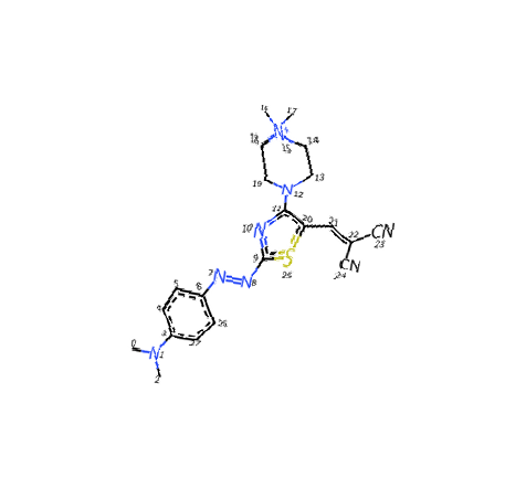 CN(C)c1ccc(/N=N/c2nc(N3CC[N+](C)(C)CC3)c(C=C(C#N)C#N)s2)cc1